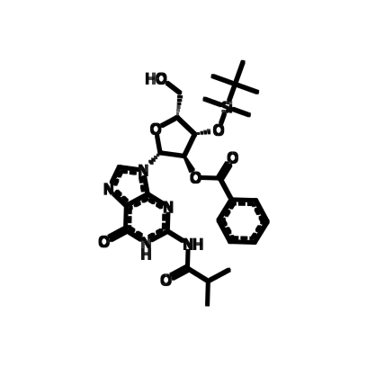 CC(C)C(=O)Nc1nc2c(ncn2[C@@H]2O[C@H](CO)[C@H](O[Si](C)(C)C(C)(C)C)[C@H]2OC(=O)c2ccccc2)c(=O)[nH]1